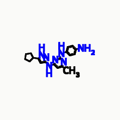 Cc1cc(Nc2cc(C3CCCC3)[nH]n2)nc(Nc2ccc(N)cc2)n1